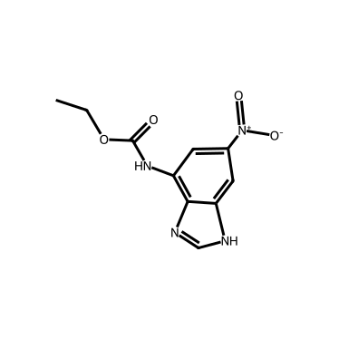 CCOC(=O)Nc1cc([N+](=O)[O-])cc2[nH]cnc12